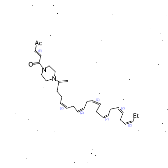 C=C(CC/C=C\C/C=C\C/C=C\C/C=C\C/C=C\C/C=C\CC)N1CCN(C(=O)/C=C/C(C)=O)CC1